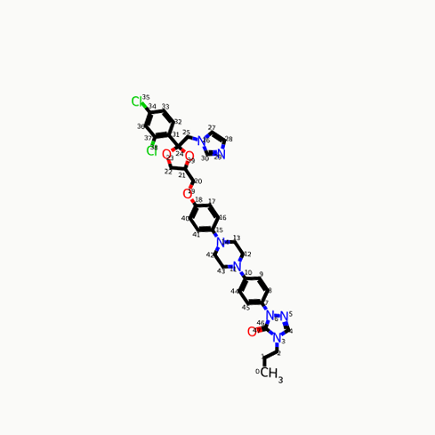 CCCn1cnn(-c2ccc(N3CCN(c4ccc(OCC5COC(Cn6ccnc6)(c6ccc(Cl)cc6Cl)O5)cc4)CC3)cc2)c1=O